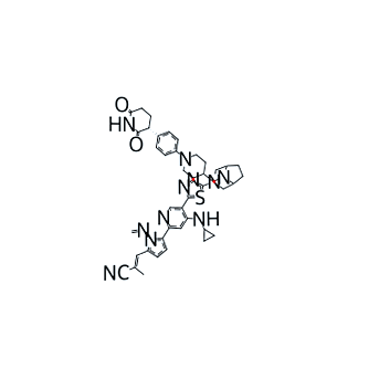 C=Nn1c(/C=C(\C)C#N)ccc1-c1cc(NC2CC2)c(-c2nnc(N3CC4CCC(C3)N4CC3CCN(c4ccc([C@H]5CCC(=O)NC5=O)cc4)CC3)s2)cn1